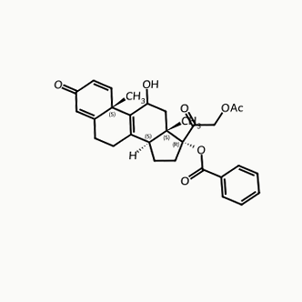 CC(=O)OCC(=O)[C@@]1(OC(=O)c2ccccc2)CC[C@H]2C3=C(C(O)C[C@@]21C)[C@@]1(C)C=CC(=O)C=C1CC3